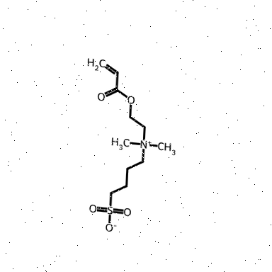 C=CC(=O)OCC[N+](C)(C)CCCCS(=O)(=O)[O-]